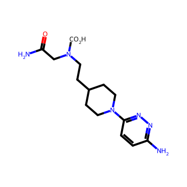 NC(=O)CN(CCC1CCN(c2ccc(N)nn2)CC1)C(=O)O